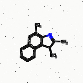 CC1=Nc2c(C)cc3ccccc3c2C1C